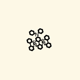 c1ccc(N(c2ccccc2)c2cc3c4c(c2)B2c5ccccc5-c5ccccc5N2c2cccc(c2-4)N2B3c3ccccc3-c3ccccc32)cc1